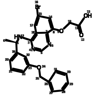 C[C@@H](Nc1ncnc2c(OCC(=O)O)cc(Br)cc12)c1cccc(OCc2ccccc2)c1